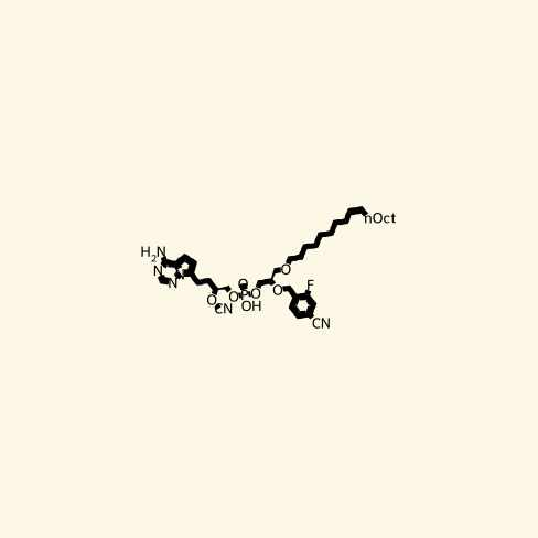 CCCCCCCC/C=C\CCCCCCCCOC[C@H](COP(=O)(O)OC[C@H](CCc1ccc2c(N)ncnn12)OC#N)OCc1ccc(C#N)cc1F